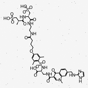 Cc1cc(OCCCC(=O)NCCNC(=O)[C@H](CS(=O)(=O)O)NC(=O)[C@@H](C)CS(=O)(=O)O)cc(C)c1S(=O)(=O)N[C@@H](CNC(=O)c1cn(C)c2cc(CNc3ncc[nH]3)ccc2c1=O)C(=O)O